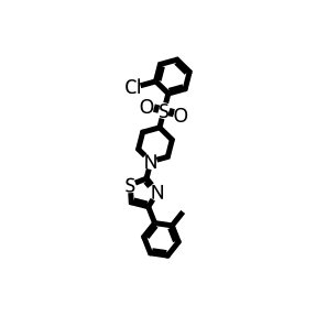 Cc1ccccc1-c1csc(N2CCC(S(=O)(=O)c3ccccc3Cl)CC2)n1